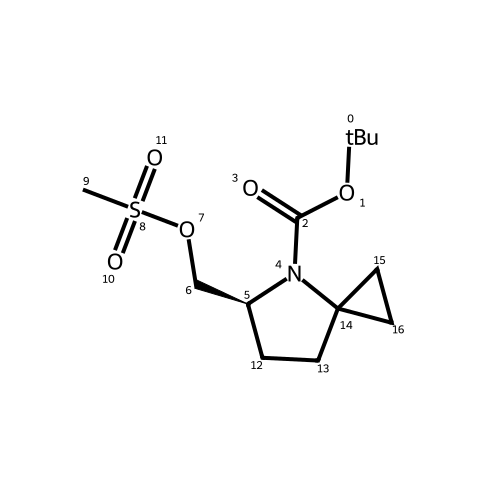 CC(C)(C)OC(=O)N1[C@H](COS(C)(=O)=O)CCC12CC2